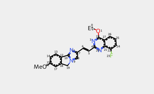 CCOc1nc(C=Cc2cn3c(n2)-c2ccc(OC)cc2C3)nc2c(F)cccc12